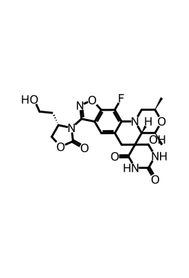 C[C@@H]1CN2c3c(cc4c(N5C(=O)OC[C@@H]5CCO)noc4c3F)CC3(C(=O)NC(=O)NC3O)[C@H]2[C@H](C)O1